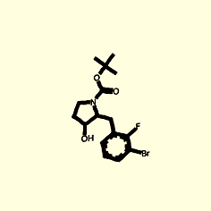 CC(C)(C)OC(=O)N1CCC(O)C1Cc1cccc(Br)c1F